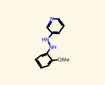 COc1ccccc1NNc1cccnc1